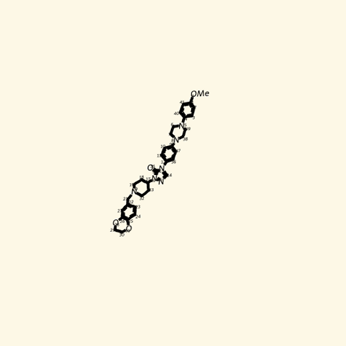 COc1ccc(N2CCN(c3ccc(-n4cnn(C5CCN(Cc6ccc7c(c6)OCCO7)CC5)c4=O)cc3)CC2)cc1